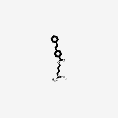 CN(C)CCCCOC(=O)c1ccc(/C=C/c2ccccc2)cc1